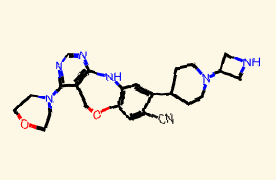 N#Cc1cc2c(cc1C1CCN(C3CNC3)CC1)Nc1ncnc(N3CCOCC3)c1CO2